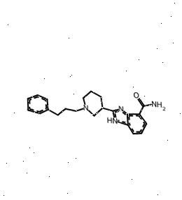 NC(=O)c1cccc2[nH]c(C3CCCN(CCCc4ccccc4)C3)nc12